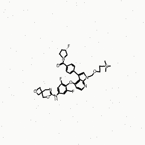 C[Si](C)(C)CCOCn1cc(-c2ccc(C(=O)N3CC[C@H](F)C3)cc2)c2c(Oc3c(F)cc(NC4=NCC5(COC5)CO4)cc3F)ccnc21